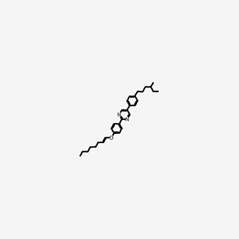 CCCCCCC=COc1ccc(-c2ncc(-c3ccc(CCCC(C)CC)cc3)cn2)cc1